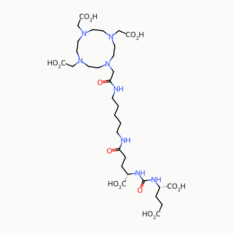 O=C(O)CC[C@H](NC(=O)N[C@@H](CCC(=O)NCCCCCNC(=O)CN1CCN(CC(=O)O)CCN(CC(=O)O)CCN(CC(=O)O)CC1)C(=O)O)C(=O)O